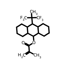 C=C(C)C(=O)OC1C2CCCCC2C(C(C)(C(F)(F)F)C(F)(F)F)C2CCCCC21